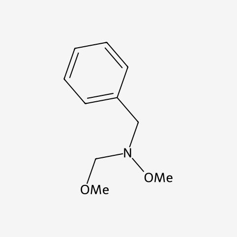 COCN(Cc1ccccc1)OC